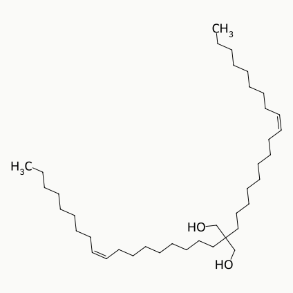 CCCCCCCC/C=C\CCCCCCCCC(CO)(CO)CCCCCCCC/C=C\CCCCCCCC